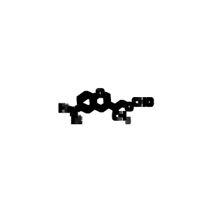 CCN(CC)c1ccc2c(c1)CC(C(C)COC=O)=CO2